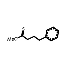 COC(=S)CCCc1ccccc1